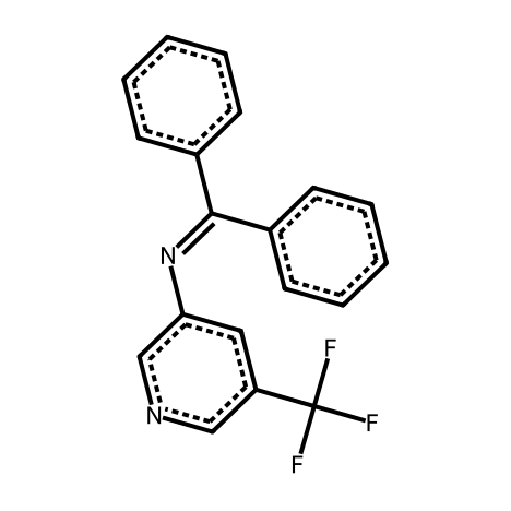 FC(F)(F)c1cncc(N=C(c2ccccc2)c2ccccc2)c1